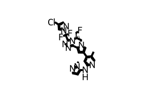 Cc1cnc(Nc2ccnn2C)cc1-c1cc2n(c1)C[C@H](CF)n1c-2nnc1C(F)(F)n1cc(Cl)cn1